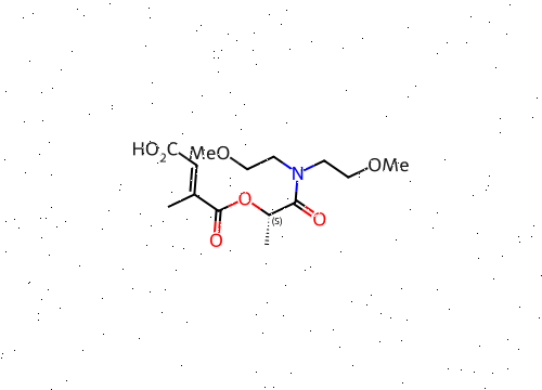 COCCN(CCOC)C(=O)[C@H](C)OC(=O)C(C)=CC(=O)O